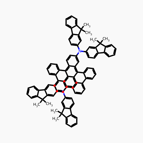 CC1(C)C2=CC(N(c3ccc4c(c3)C(C)(C)c3ccccc3-4)c3ccc4c(-c5ccccc5-c5ccccc5)c5cc(N(c6ccc7c(c6)C(C)(C)c6ccccc6-7)c6ccc7c(c6)C(C)(C)c6ccccc6-7)ccc5c(-c5ccccc5-c5ccccc5)c4c3)CC=C2c2ccccc21